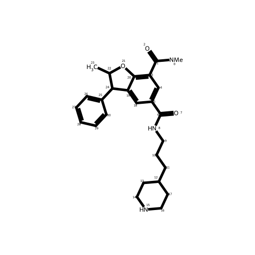 CNC(=O)c1cc(C(=O)NCCCC2CCNCC2)cc2c1OC(C)C2c1ccccc1